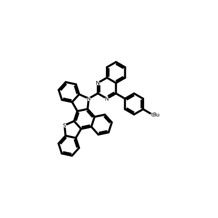 CC(C)(C)c1ccc(-c2nc(-n3c4ccccc4c4c5sc6ccccc6c5c5ccccc5c43)nc3ccccc23)cc1